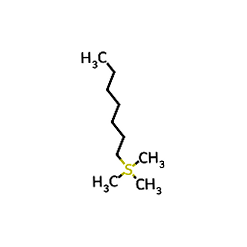 CCCCCCCS(C)(C)C